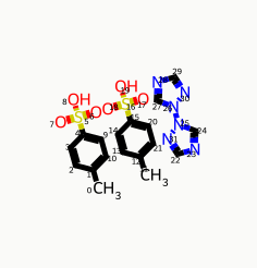 Cc1ccc(S(=O)(=O)O)cc1.Cc1ccc(S(=O)(=O)O)cc1.c1ncn(-n2cncn2)n1